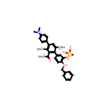 COC(=O)c1c(OC)c(-c2ccc(N(C)C)cc2)cc(OC)c1-c1ccc(OCc2ccccc2)c(OS(C)(=O)=O)c1